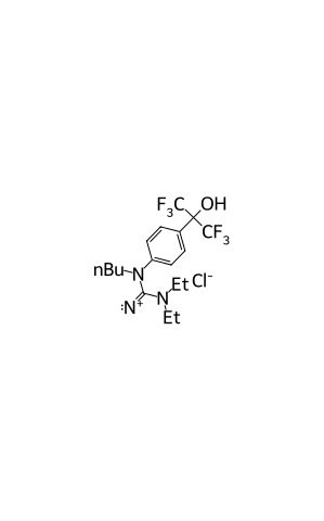 CCCCN(C(=[N+])N(CC)CC)c1ccc(C(O)(C(F)(F)F)C(F)(F)F)cc1.[Cl-]